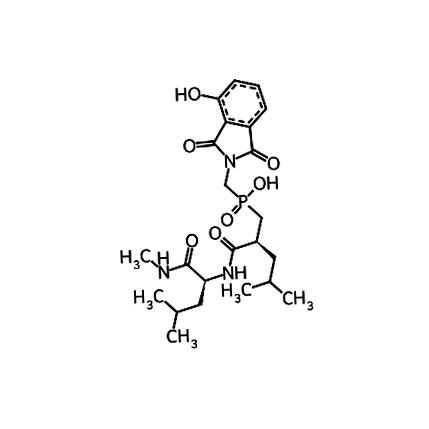 CNC(=O)[C@H](CC(C)C)NC(=O)[C@H](CC(C)C)CP(=O)(O)CN1C(=O)c2cccc(O)c2C1=O